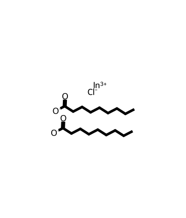 CCCCCCCCC(=O)[O-].CCCCCCCCC(=O)[O-].[Cl-].[In+3]